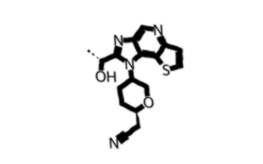 C[C@@H](O)c1nc2cnc3ccsc3c2n1C1CC[C@H](CC#N)OC1